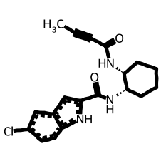 CC#CC(=O)N[C@@H]1CCCC[C@@H]1NC(=O)c1cc2cc(Cl)ccc2[nH]1